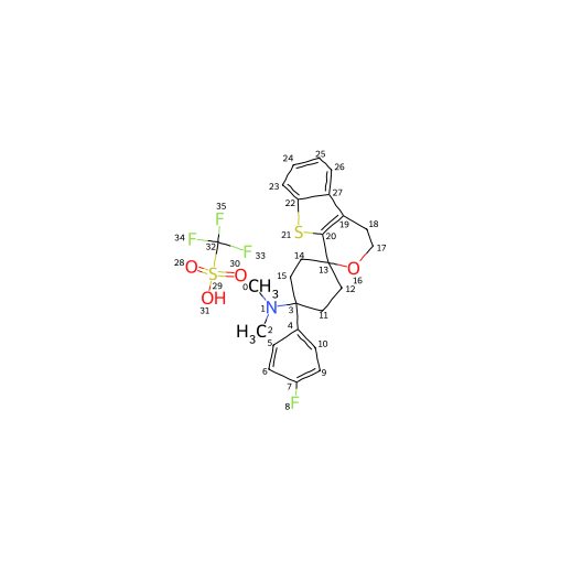 CN(C)C1(c2ccc(F)cc2)CCC2(CC1)OCCc1c2sc2ccccc12.O=S(=O)(O)C(F)(F)F